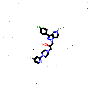 CC(=O)N1CCc2c(c(-c3ccc(Cl)cc3)nn2CC(O)CN2CCN(c3cc(C(F)(F)F)ccn3)CC2)C1